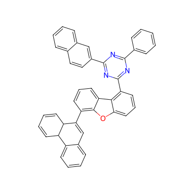 C1=CC2C(c3cccc4c3oc3cccc(-c5nc(-c6ccccc6)nc(-c6ccc7ccccc7c6)n5)c34)=Cc3ccccc3C2C=C1